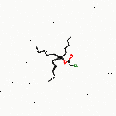 CCCCC[Si](CCCCC)(CCCCC)OC(=O)CCl